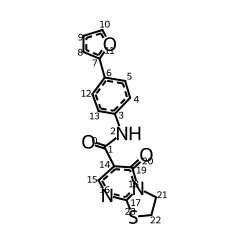 O=C(Nc1ccc(-c2ccco2)cc1)c1cnc2n(c1=O)CCS2